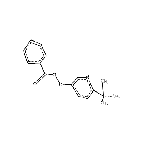 CC(C)(C)c1ccc(OOC(=O)c2ccccc2)cn1